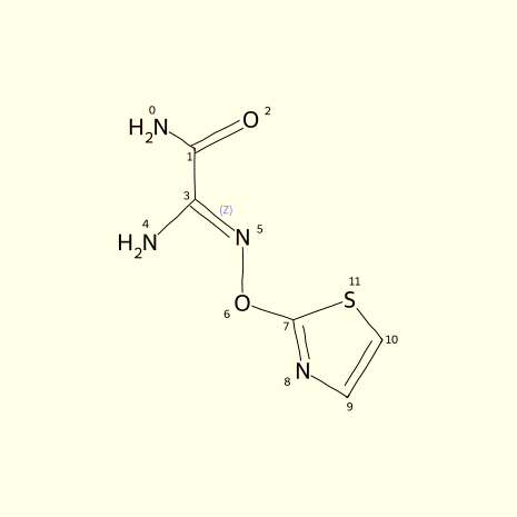 NC(=O)/C(N)=N/Oc1nccs1